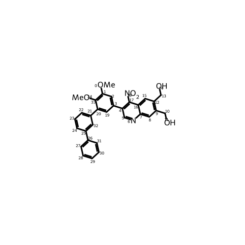 COc1cc(-c2cnc3cc(CO)c(CO)cc3c2[N+](=O)[O-])cc(-c2cccc(-c3ccccc3)c2)c1OC